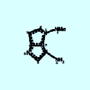 CNn1ccc2ncc(N)n21